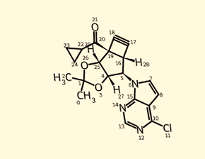 CC1(C)O[C@H]2[C@H](n3ccc4c(Cl)ncnc43)[C@H]3C#C[C@@]3(C(=O)C3CC3)[C@H]2O1